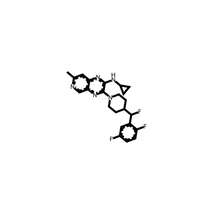 Cc1cc2nc(NC3CC3)c(N3CCC(C(F)c4cc(F)ccc4F)CC3)nc2cn1